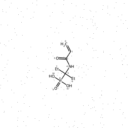 C=CC(=O)NC(CC)(CC)P(=O)(O)O